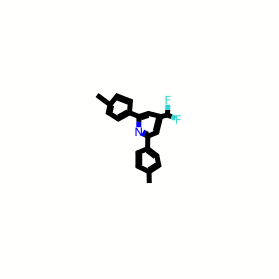 Cc1ccc(-c2cc(C(F)F)cc(-c3ccc(C)cc3)n2)cc1